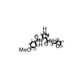 COc1ccc(C(=O)Nc2c[nH]nc2C(=O)NCc2ccco2)cc1